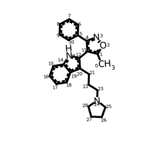 Cc1onc(-c2ccccc2)c1-c1[nH]c2ccccc2c1CCCN1CCCC1